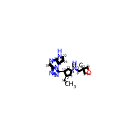 CC[C@@H]1C[C@H](NCC2(C)COC2)C[C@@H]1c1nnc2cnc3[nH]ccc3n12